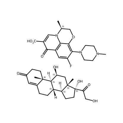 C[C@H]1COc2c(N3CCN(C)CC3)c(F)cc3c(=O)c(C(=O)O)cn1c23.C[C@]12CCC(=O)C=C1CC[C@@H]1[C@@H]2[C@@H](O)C[C@@]2(C)[C@H]1CC[C@]2(O)C(=O)CO